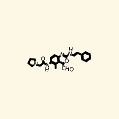 Cc1c(NC(=O)CN2CCCC2)ccc2c1C(C=O)OC(NC=Cc1ccccc1)=N2